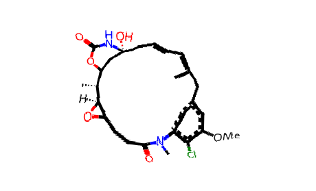 COc1cc2cc(c1Cl)N(C)C(=O)CCC1O[C@H]1[C@H](C)C1C[C@](O)(C/C=C/C=C(\C)C2)NC(=O)O1